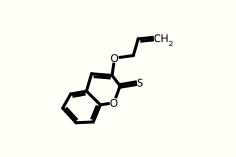 C=CCOc1cc2ccccc2oc1=S